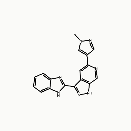 Cn1cc(-c2cc3c(-c4nc5ccccc5[nH]4)n[nH]c3cn2)cn1